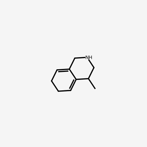 CC1CNCC2=CCCC=C21